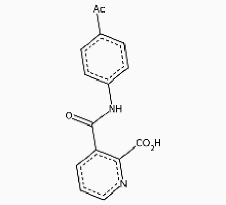 CC(=O)c1ccc(NC(=O)c2cccnc2C(=O)O)cc1